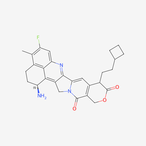 Cc1c(F)cc2nc3c(c4c2c1CC[C@@H]4N)Cn1c-3cc2c(c1=O)COC(=O)C2CCC1CCC1